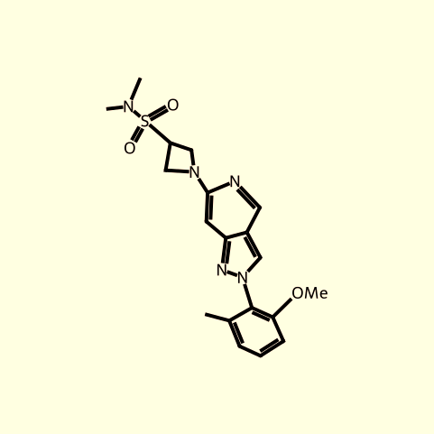 COc1cccc(C)c1-n1cc2cnc(N3CC(S(=O)(=O)N(C)C)C3)cc2n1